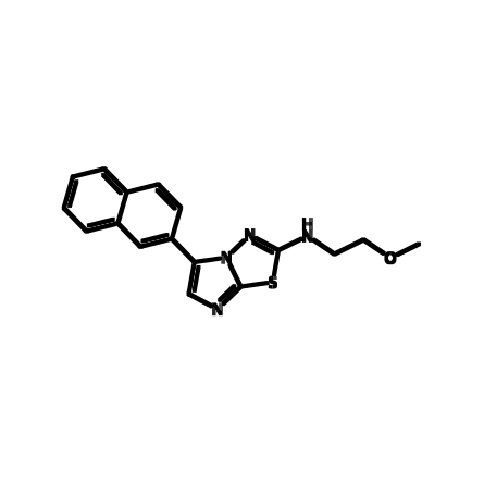 COCCNc1nn2c(-c3ccc4ccccc4c3)cnc2s1